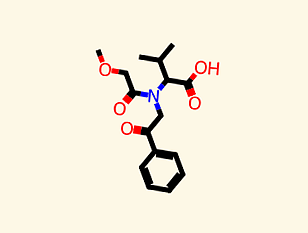 COCC(=O)N(CC(=O)c1ccccc1)C(C(=O)O)C(C)C